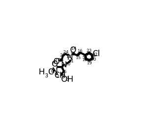 CN(C)C(=O)C(CCO)N1CCN(C(=O)C=Cc2cccc(Cl)c2)CCC1=O